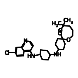 CC1(C)CCCOC2(CCC(NC3CCC(Nc4ccnc5cc(Cl)ccc45)CC3)CC2)OO1